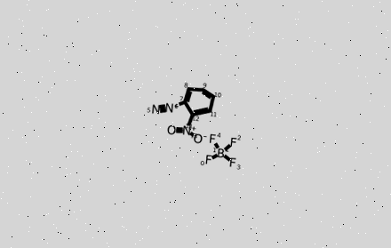 F[B-](F)(F)F.N#[N+]c1ccccc1[N+](=O)[O-]